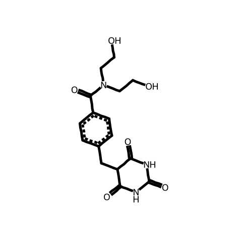 O=C1NC(=O)C(Cc2ccc(C(=O)N(CCO)CCO)cc2)C(=O)N1